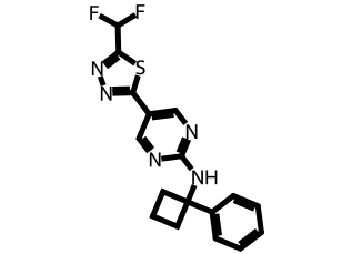 FC(F)c1nnc(-c2cnc(NC3(c4ccccc4)CCC3)nc2)s1